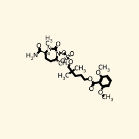 COc1cccc(OC)c1C(=O)OCCCC(C)(C)COS(=O)(=O)ON1C(=O)N(C)[C@H](C(N)=O)CC[C@@H]1C